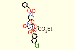 CCOC(=O)COCC12CN(S(=O)(=O)c3ccc4cc(Cl)ccc4c3)CC(=O)N1CC1(CCN(C(=O)OCc3ccccc3)CC1)O2